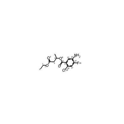 CCOC(=O)CC(C)OC(=O)c1cc(N)c(F)cc1Cl